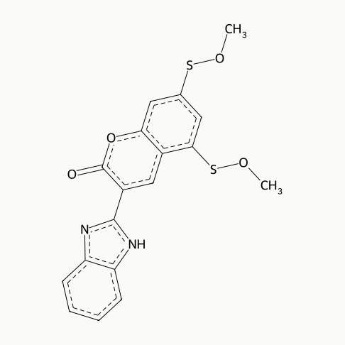 COSc1cc(SOC)c2cc(-c3nc4ccccc4[nH]3)c(=O)oc2c1